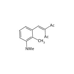 CNc1cccc(C=C(C(C)=O)C(C)=O)c1C